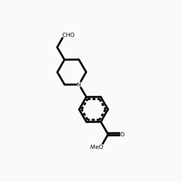 COC(=O)c1ccc(N2CCC(CC=O)CC2)cc1